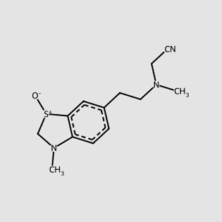 CN(CC#N)CCc1ccc2c(c1)[S+]([O-])CN2C